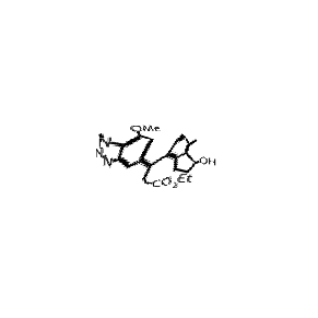 CCOC(=O)CC(c1cc(OC)c2c(c1)nnn2C)c1ccc(C)c2c1CCC2O